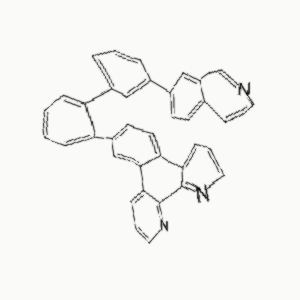 c1cc(-c2ccc3ccncc3c2)cc(-c2ccccc2-c2ccc3c(c2)c2cccnc2c2ncccc32)c1